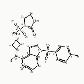 Cc1ccc(S(=O)(=O)n2ccc3c(N(C)[C@H]4C[C@@H](NS(=O)(=O)N5CCOC5=O)C4)ncnc32)cc1